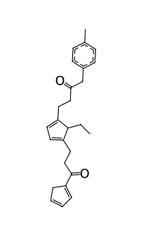 CCC1C(CCC(=O)Cc2ccc(C)cc2)=CC=C1CCC(=O)C1=CC=CC1